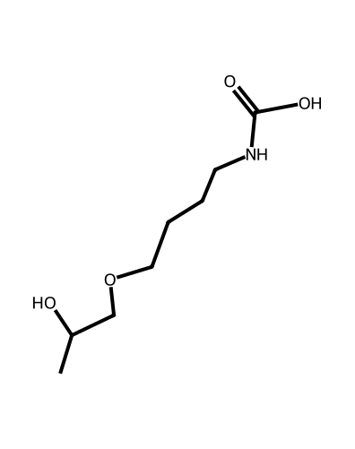 CC(O)COCCCCNC(=O)O